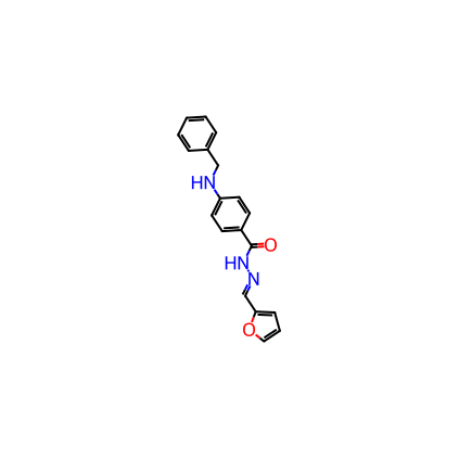 O=C(N/N=C/c1ccco1)c1ccc(NCc2ccccc2)cc1